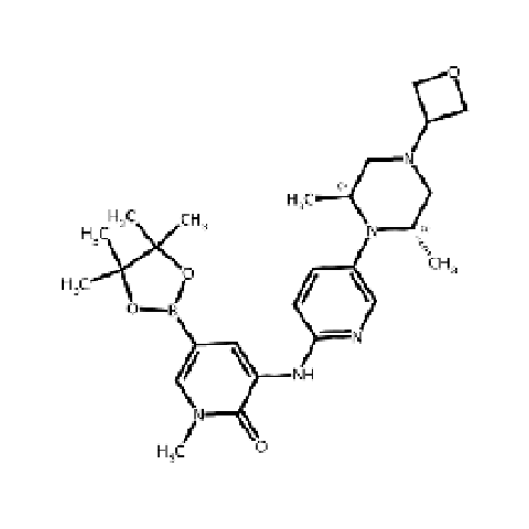 C[C@H]1CN(C2COC2)C[C@H](C)N1c1ccc(Nc2cc(B3OC(C)(C)C(C)(C)O3)cn(C)c2=O)nc1